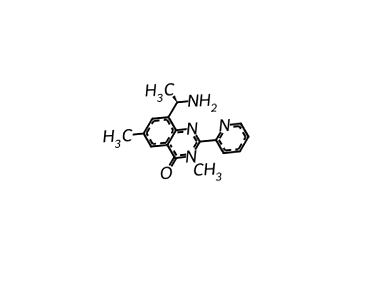 Cc1cc([C@@H](C)N)c2nc(-c3ccccn3)n(C)c(=O)c2c1